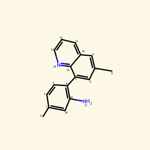 Cc1ccc(-c2cc(C)cc3cccnc23)c(N)c1